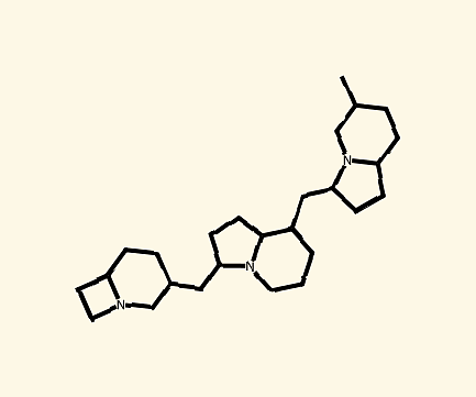 CC1CCC2CCC(CC3CCCN4C(CC5CCC6CCN6C5)CCC34)N2C1